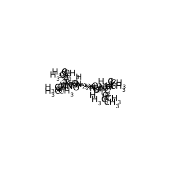 CC(C)(C)c1ccc(C(c2ccc(C(C)(C)C)cc2)[C@H]2C[C@@H](OC(=O)NCCCCCCNC(=O)O[C@H]3CN[C@@H](C(c4ccc(C(C)(C)C)cc4)c4ccc(C(C)(C)C)cc4)C3)CN2)cc1